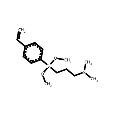 C=Cc1ccc([Si](CCCN(C)C)(OC)OC)cc1